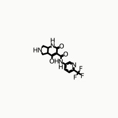 O=C(Nc1ccc(C(F)(F)F)nc1)C1=C(O)C2CNCC2NC1=O